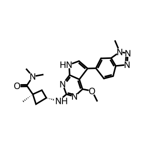 COc1nc(N[C@H]2C[C@](C)(C(=O)N(C)C)C2)nc2[nH]cc(-c3ccc4nnn(C)c4c3)c12